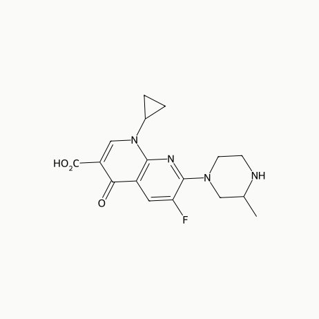 CC1CN(c2nc3c(cc2F)c(=O)c(C(=O)O)cn3C2CC2)CCN1